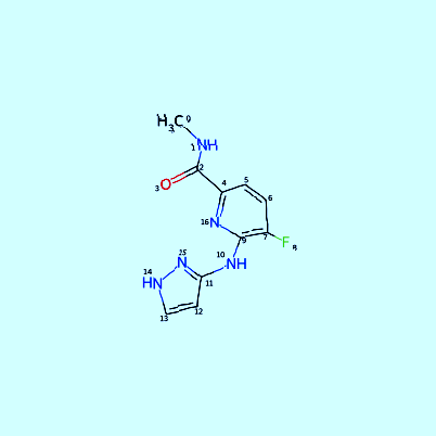 CNC(=O)c1ccc(F)c(Nc2cc[nH]n2)n1